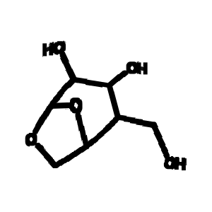 OCC1C2COC(O2)C(O)C1O